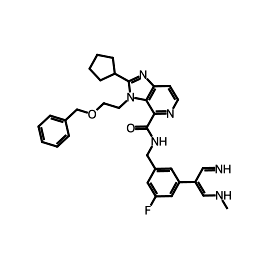 CN/C=C(\C=N)c1cc(F)cc(CNC(=O)c2nccc3nc(C4CCCC4)n(CCOCc4ccccc4)c23)c1